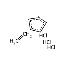 C=C.Cl.Cl.Cl.c1ccsc1